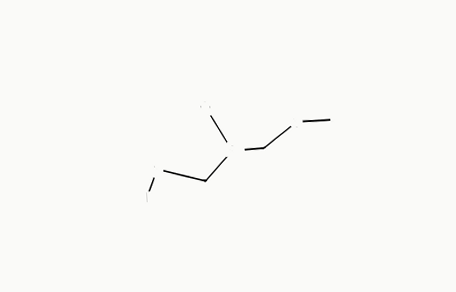 [O-][S+](CSI)CSI